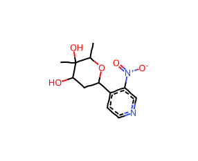 CC1OC(c2ccncc2[N+](=O)[O-])CC(O)C1(C)O